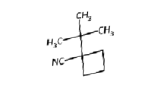 CC(C)(C)C1(C#N)CCC1